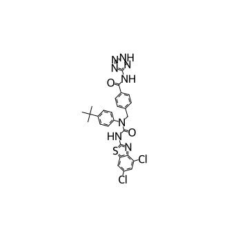 CC(C)(C)c1ccc(N(Cc2ccc(C(=O)Nc3nn[nH]n3)cc2)C(=O)Nc2nc3c(Cl)cc(Cl)cc3s2)cc1